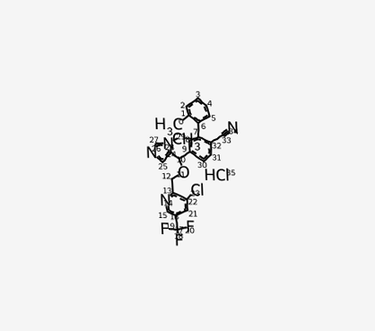 Cc1ccccc1-c1cc(C(OCc2ncc(C(F)(F)F)cc2Cl)c2cncn2C)ccc1C#N.Cl